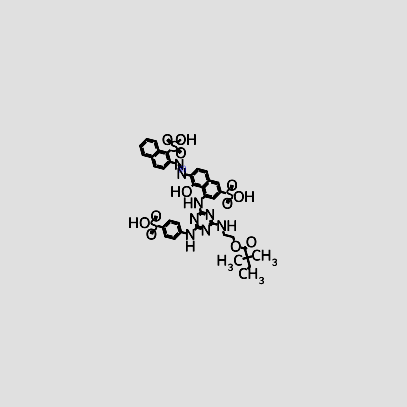 CCC(C)(C)C(=O)OCCNc1nc(Nc2ccc(S(=O)(=O)O)cc2)nc(Nc2cc(S(=O)(=O)O)cc3ccc(/N=N/c4ccc5ccccc5c4S(=O)(=O)O)c(O)c23)n1